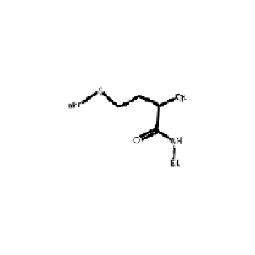 CCCSCCC(C#N)C(=O)NCC